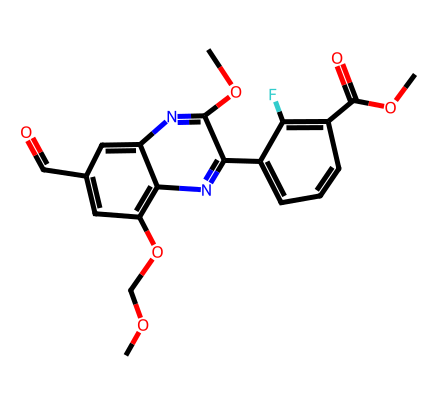 COCOc1cc(C=O)cc2nc(OC)c(-c3cccc(C(=O)OC)c3F)nc12